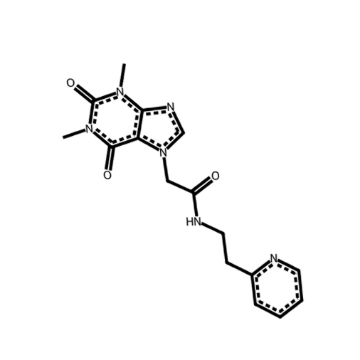 Cn1c(=O)c2c(ncn2CC(=O)NCCc2ccccn2)n(C)c1=O